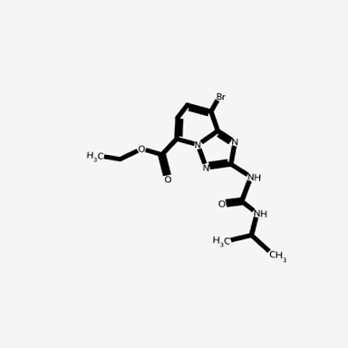 CCOC(=O)c1ccc(Br)c2nc(NC(=O)NC(C)C)nn12